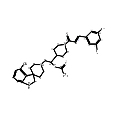 N#Cc1cccc2c1C1(CCN(CC(OC(=O)C(F)(F)F)C3CCN(C(=O)/C=C/c4cc(F)cc(F)c4)CC3)CC1)CN2